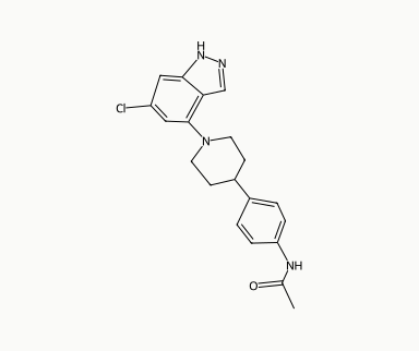 CC(=O)Nc1ccc(C2CCN(c3cc(Cl)cc4[nH]ncc34)CC2)cc1